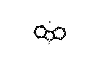 F.c1ccc2c(c1)[nH]c1ccccc12